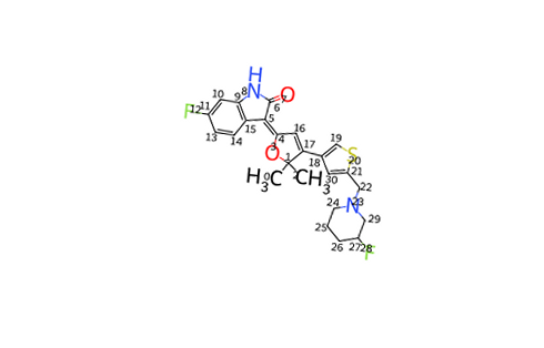 CC1(C)O/C(=C2/C(=O)Nc3cc(F)ccc32)C=C1c1csc(CN2CCCC(F)C2)c1